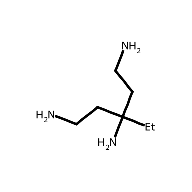 CCC(N)(CCN)CCN